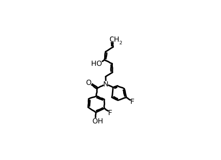 C=C/C=C(O)\C=C/CN(C(=O)c1ccc(O)c(F)c1)c1ccc(F)cc1